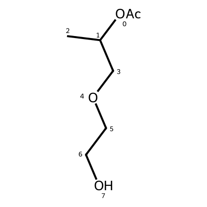 CC(=O)OC(C)COCCO